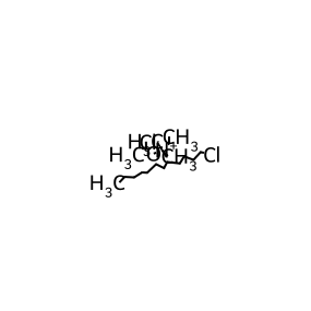 CCCCCCCCCCCCCl.CC[N+](C)(C)OC(C)Cl